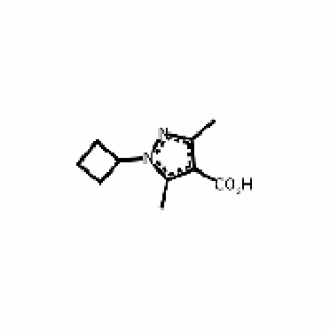 Cc1nn(C2CCC2)c(C)c1C(=O)O